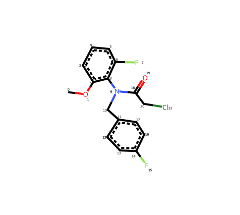 COc1cccc(F)c1N(Cc1ccc(F)cc1)C(=O)CCl